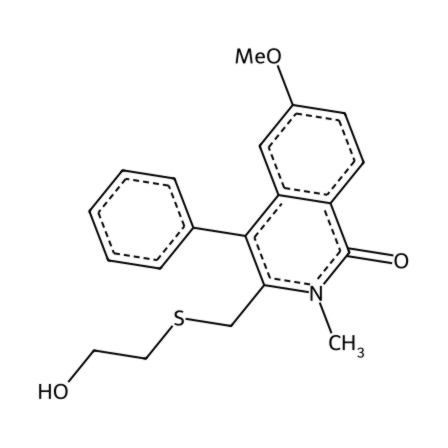 COc1ccc2c(=O)n(C)c(CSCCO)c(-c3ccccc3)c2c1